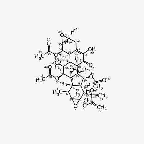 C=C1O[C@]23O[C@H]2[C@@H](C)[C@H]2[C@@H]([C@H](OC(C)=O)[C@H]4[C@@H]5C(=O)C(O)=C6C[C@@H]7O[C@@H]7[C@H](OC(C)=O)[C@]6(C)C5[C@H](C)[C@H](OC(C)=O)[C@]24C)[C@@]3(C)[C@]1(C)O